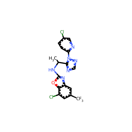 CC(Nc1nc2cc(C(F)(F)F)cc(Cl)c2o1)c1ncnn1-c1ccc(Cl)cn1